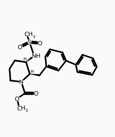 COC(=O)N1CCC[C@@H](NS(C)(=O)=O)[C@H]1Cc1cccc(-c2ccccc2)c1